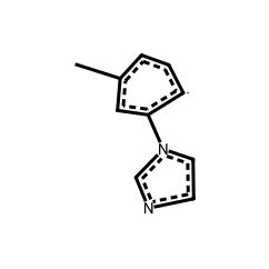 Cc1cc[c]c(-n2ccnc2)c1